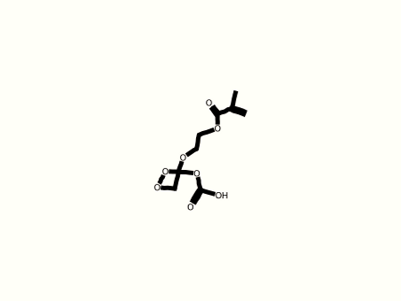 C=C(C)C(=O)OCCOC1(OC(=O)O)COO1